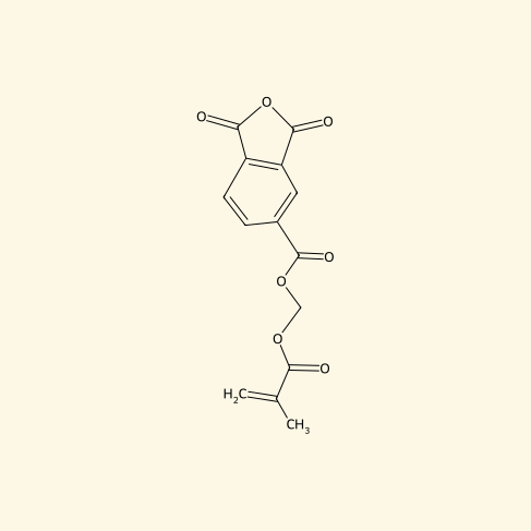 C=C(C)C(=O)OCOC(=O)c1ccc2c(c1)C(=O)OC2=O